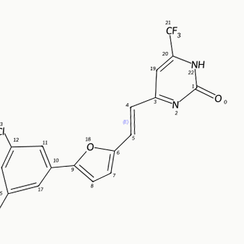 O=c1nc(/C=C/c2ccc(-c3cc(Cl)cc(Cl)c3)o2)cc(C(F)(F)F)[nH]1